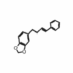 [CH](C=Cc1ccccc1)Cc1ccc2c(c1)OCO2